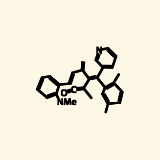 C=C(/C=C/c1ccccc1NC)/C(C(C)=C=O)=C(\c1cccnc1)c1cc(C)ccc1C